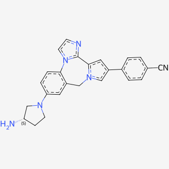 N#Cc1ccc(-c2cc3n(c2)Cc2cc(N4CC[C@H](N)C4)ccc2-n2ccnc2-3)cc1